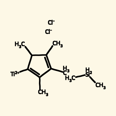 CC1=C(C)C(C)[C]([Ti+2])=C1C.C[SiH2]C.[Cl-].[Cl-]